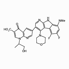 CNc1cc(F)c(F)c2c1[nH]c1ncc(-c3cnc4c(c3)c(=O)c(C(=O)O)cn4C(C)CO)c(N3CCOCC3)c12